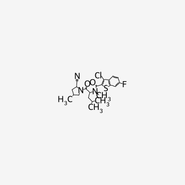 CC(C)CC(C(=O)N1CC(C)CC1C#N)N(C)C(=O)c1sc2cc(F)ccc2c1Cl